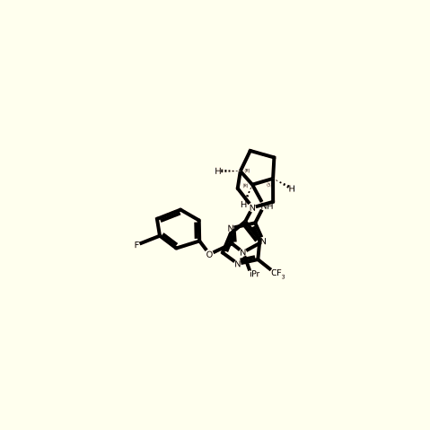 CC(C)n1nc(N[C@H]2[C@@H]3CC[C@H]2CN(c2ccnc(C(F)(F)F)c2)C3)nc1Oc1cccc(F)c1